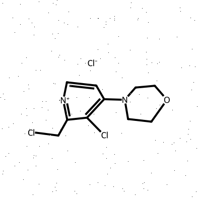 ClCC1=[N+]C=CC(N2CCOCC2)=C1Cl.[Cl-]